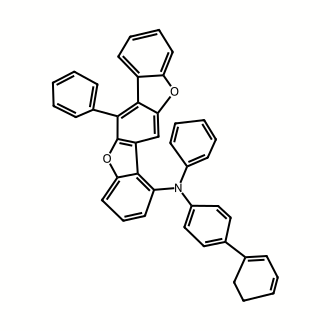 C1=CCCC(c2ccc(N(c3ccccc3)c3cccc4oc5c(-c6ccccc6)c6c(cc5c34)oc3ccccc36)cc2)=C1